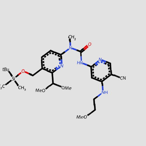 COCCNc1cc(NC(=O)N(C)c2ccc(CO[Si](C)(C)C(C)(C)C)c(C(OC)OC)n2)ncc1C#N